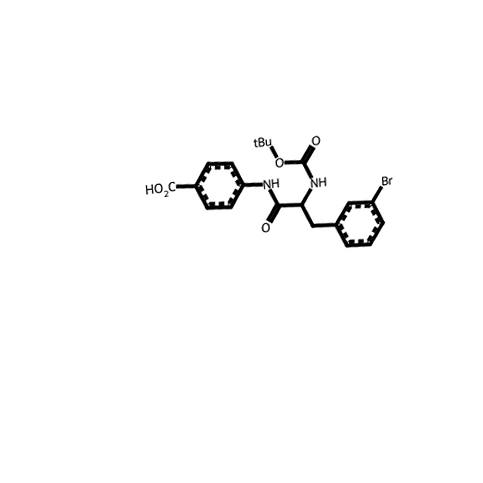 CC(C)(C)OC(=O)NC(Cc1cccc(Br)c1)C(=O)Nc1ccc(C(=O)O)cc1